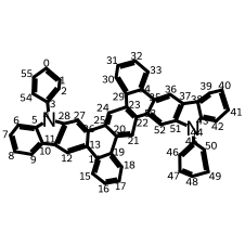 c1ccc(-n2c3ccccc3c3cc4c5ccccc5c5cc6c(cc5c4cc32)c2ccccc2c2cc3c4ccccc4n(-c4ccccc4)c3cc62)cc1